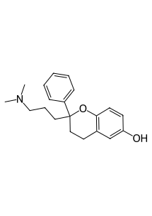 CN(C)CCCC1(c2ccccc2)CCc2cc(O)ccc2O1